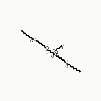 CCCCCCCCC(=O)OCCCCCCCOC(=O)CCC(OC(=O)CCCN(C)C)C(=O)OCCCCCCCOC(=O)CCCCCCCC